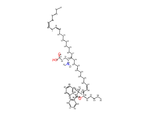 CCCCC/C=C\C/C=C\CCCCCCCCC(CCCCCCCC/C=C\C[C@@H](CCCCC)O[Si](c1ccccc1)(c1ccccc1)C(C)(C)C)C(CCC(=O)O)N(C)C